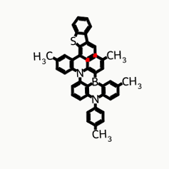 Cc1ccc(N2c3ccc(C)cc3B3c4cc(C)ccc4N(c4ccc(C)cc4-c4cccc5c4sc4ccccc45)c4cccc2c43)cc1